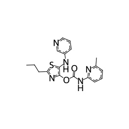 CCCc1nc(OC(=O)Nc2cccc(C)n2)c(Nc2cccnc2)s1